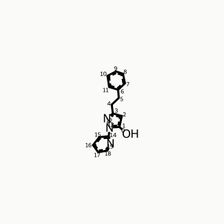 Oc1cc(CCc2ccccc2)nn1-c1ccccn1